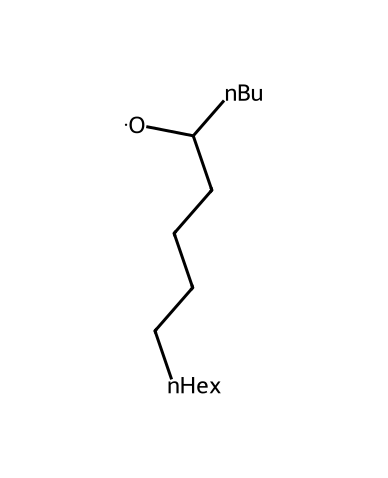 CCCCCCCCCCC([O])CCCC